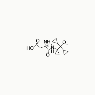 COC(C1CC1)(C1CC1)C1(NC(=O)[C@@H](N)CC(=O)O)CC1